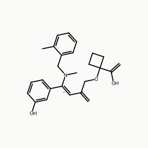 C=C(/C=C(/c1cccc(O)c1)N(C)Cc1ccccc1C)COC1(C(=C)O)CCC1